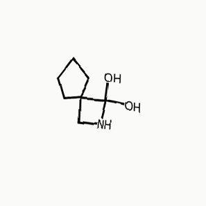 OC1(O)NCC12CCCC2